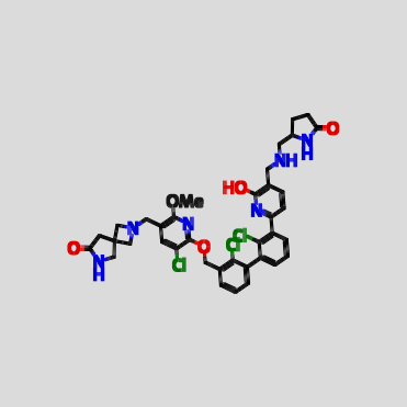 COc1nc(OCc2cccc(-c3cccc(-c4ccc(CNCC5CCC(=O)N5)c(O)n4)c3Cl)c2Cl)c(Cl)cc1CN1CC2(CNC(=O)C2)C1